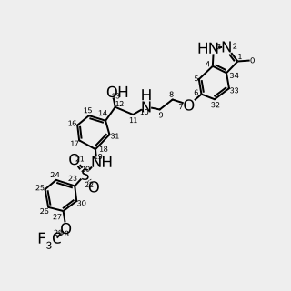 Cc1n[nH]c2cc(OCCNCC(O)c3cccc(NS(=O)(=O)c4cccc(OC(F)(F)F)c4)c3)ccc12